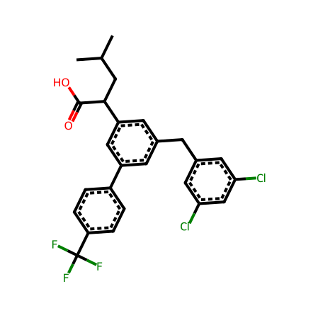 CC(C)CC(C(=O)O)c1cc(Cc2cc(Cl)cc(Cl)c2)cc(-c2ccc(C(F)(F)F)cc2)c1